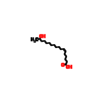 CC(O)CCCCCCCCC/C=C\CCCCC(=O)O